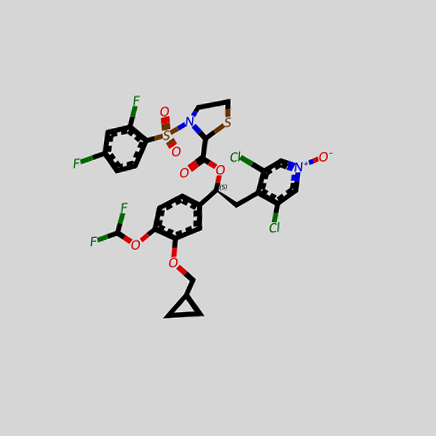 O=C(O[C@@H](Cc1c(Cl)c[n+]([O-])cc1Cl)c1ccc(OC(F)F)c(OCC2CC2)c1)C1SCCN1S(=O)(=O)c1ccc(F)cc1F